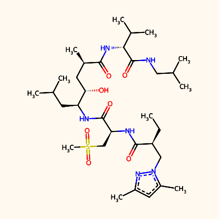 CC[C@@H](Cn1nc(C)cc1C)C(=O)N[C@@H](CS(C)(=O)=O)C(=O)N[C@@H](CC(C)C)[C@@H](O)C[C@@H](C)C(=O)N[C@@H](C(=O)NCC(C)C)C(C)C